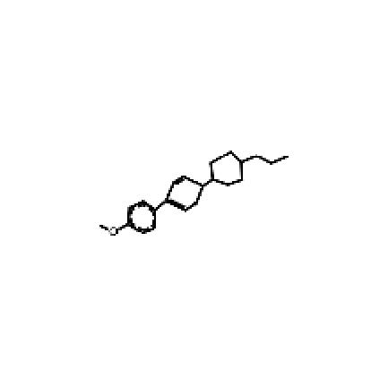 CCCC1CCC(C2C=CC(c3ccc(OC)cc3)=CC2)CC1